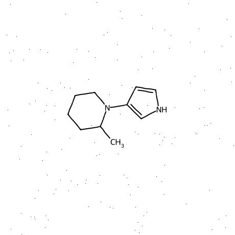 CC1CCCCN1c1cc[nH]c1